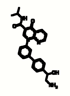 CC(C)NC(=O)c1cn(-c2cccc(-c3ccc(C(O)CN)cc3)c2)c2ncccc2c1=O